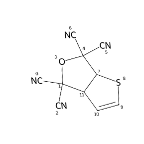 N#CC1(C#N)OC(C#N)(C#N)C2SC=CC21